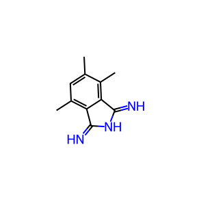 Cc1cc(C)c2c(c1C)C(=N)NC2=N